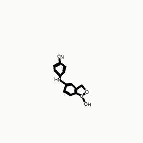 N#Cc1ccc(Nc2ccc3c(c2)COB3O)cc1